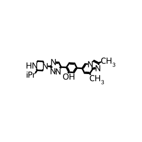 Cc1cn2cc(-c3ccc(-c4cnc(N5CCNC(C(C)C)C5)nn4)c(O)c3)cc(C)c2n1